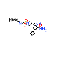 CNCCN(C)CCS(=O)(=O)N1CCC(c2c[nH]c3c(C(N)=O)cc(-c4ccccc4)cc23)CC1